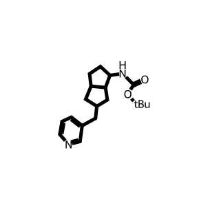 CC(C)(C)OC(=O)NC1CCC2CC(Cc3cccnc3)CC21